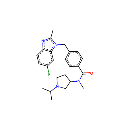 Cc1nc2ccc(F)cc2n1Cc1ccc(C(=O)N(C)[C@@H]2CCN(C(C)C)C2)cc1